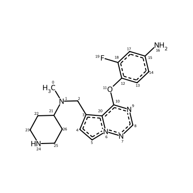 CN(Cc1ccn2ncnc(Oc3ccc(N)cc3F)c12)C1CCNCC1